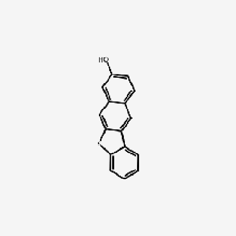 Oc1ccc2cc3c(cc2c1)sc1ccccc13